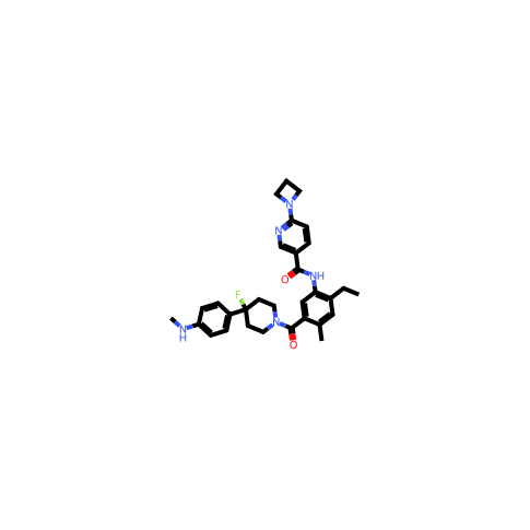 CCc1cc(C)c(C(=O)N2CCC(F)(c3ccc(NC)cc3)CC2)cc1NC(=O)c1ccc(N2CCC2)nc1